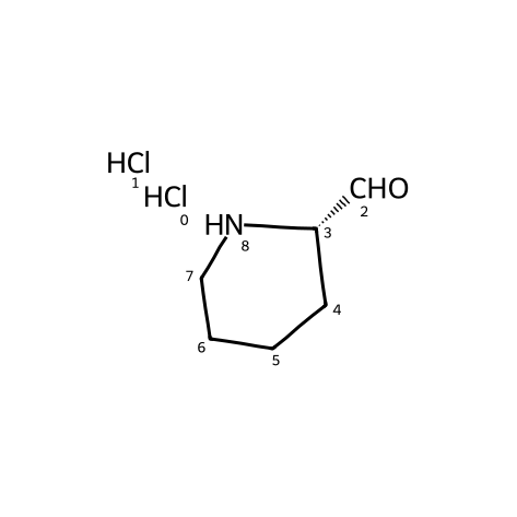 Cl.Cl.O=C[C@@H]1CCCCN1